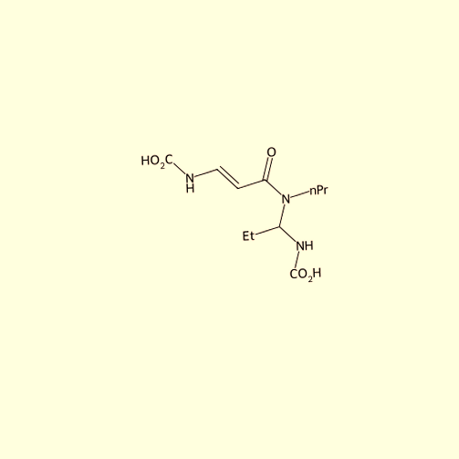 CCCN(C(=O)C=CNC(=O)O)C(CC)NC(=O)O